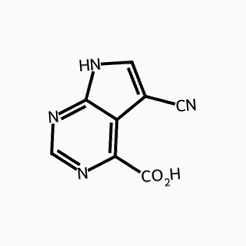 N#Cc1c[nH]c2ncnc(C(=O)O)c12